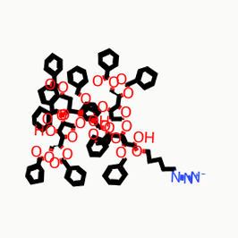 [N-]=[N+]=NCCCCCOC(O)/C(OCc1ccccc1)=C(\OC1OC([C@@H](COC(=O)c2ccccc2)OC(=O)c2ccccc2)C(OC(O)/C(OCc2ccccc2)=C(\OC2OC([C@@H](COC(=O)c3ccccc3)OC(=O)c3ccccc3)C(O)C2OC(=O)c2ccccc2)C(CCOC(=O)c2ccccc2)OCc2ccccc2)C1OC(=O)c1ccccc1)C1CCOC(c2ccccc2)O1